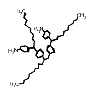 CCCCCCCCCCC(Cc1ccc(C(CCCCCCCCCC)c2ccc(N)cc2)cc1)c1ccc(C(CCCCCCCCCC)c2ccc(N)cc2)cc1